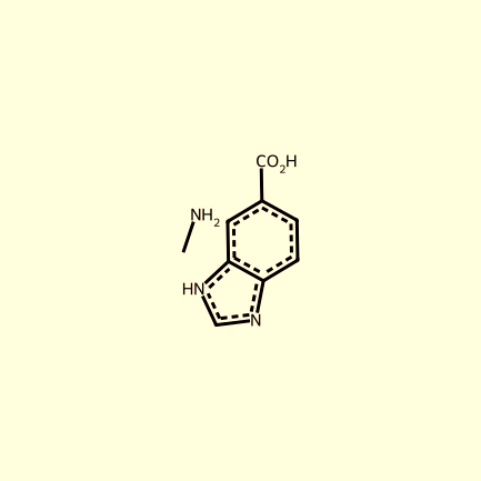 CN.O=C(O)c1ccc2nc[nH]c2c1